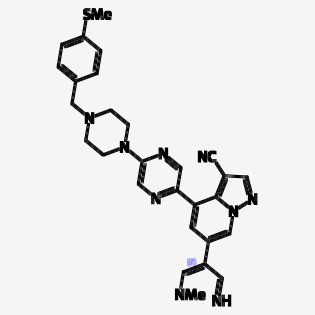 CN/C=C(\C=N)c1cc(-c2cnc(N3CCN(Cc4ccc(SC)cc4)CC3)cn2)c2c(C#N)cnn2c1